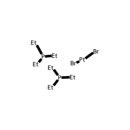 CCP(CC)CC.CCP(CC)CC.[Br][Pt][Br]